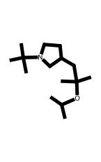 CC(C)OC(C)(C)CC1CCN(C(C)(C)C)C1